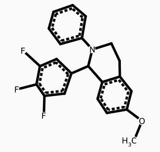 COc1ccc2c(c1)CCN(c1ccccc1)C2c1cc(F)c(F)c(F)c1